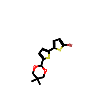 CC1(C)COC(c2ccc(-c3ccc(Br)s3)s2)OC1